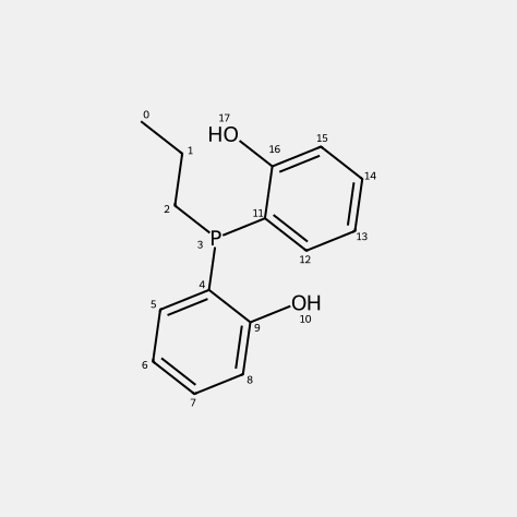 CCCP(c1ccccc1O)c1ccccc1O